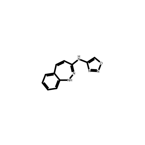 C1=Cc2ccccc2NN=C1Nc1conn1